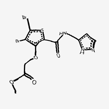 COC(=O)COc1c(C(=O)Nc2ccn[nH]2)sc(Br)c1Br